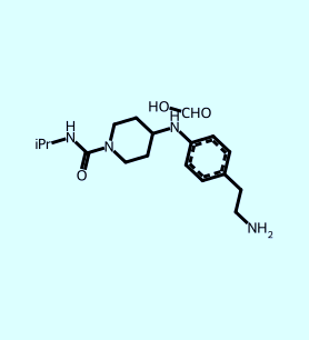 CC(C)NC(=O)N1CCC(Nc2ccc(CCN)cc2)CC1.O=CO